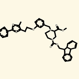 COC(=O)C1CN(C(=O)OCC2c3ccccc3C3C=CC=CC32)CCN1Cc1cccc(OCCc2nc(-c3ccccc3)oc2C)c1